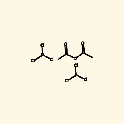 CC(=O)OC(C)=O.ClP(Cl)Cl.ClP(Cl)Cl